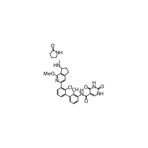 COc1nc(-c2cccc(-c3cccc(NC(=O)c4c[nH]c(=O)[nH]c4=O)c3C)c2Cl)cc2c1[C@@H](NC[C@@H]1CCC(=O)N1)CC2